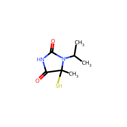 CC(C)N1C(=O)NC(=O)C1(C)S